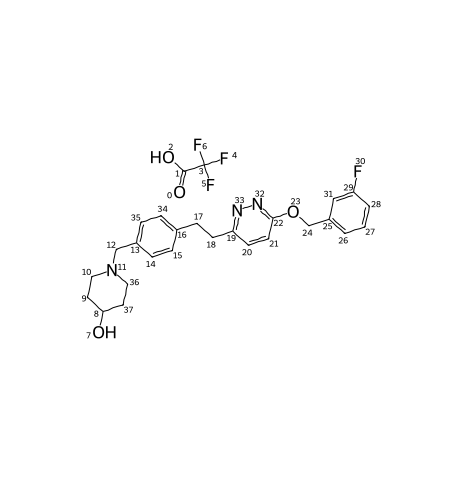 O=C(O)C(F)(F)F.OC1CCN(Cc2ccc(CCc3ccc(OCc4cccc(F)c4)nn3)cc2)CC1